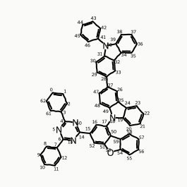 c1ccc(-c2nc(-c3ccccc3)nc(-c3cc(-n4c5ccccc5c5cc(-c6ccc7c(c6)c6ccccc6n7-c6ccccc6)ccc54)c4c(c3)oc3ccccc34)n2)cc1